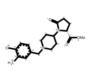 COC(=O)[C@H]1CCC(=O)N1C1CCN(Cc2ccc(Cl)c(C)c2)CC1